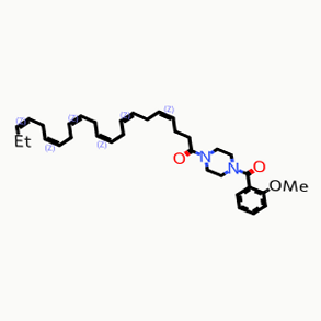 CC/C=C\C/C=C\C/C=C\C/C=C\C/C=C\C/C=C\CCC(=O)N1CCN(C(=O)c2ccccc2OC)CC1